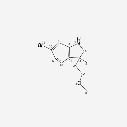 COCCC1(C)CNc2cc(Br)ccc21